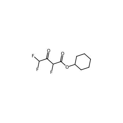 O=C(OC1CCCCC1)C(F)C(=O)C(F)F